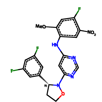 COc1cc(F)c([N+](=O)[O-])cc1Nc1cc(N2OCC[C@@H]2c2cc(F)cc(F)c2)ncn1